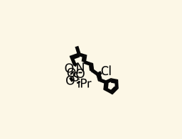 Cc1cc(C=CC(Cl)=Cc2ccccc2)n(OS(=O)(=O)C(C)C)c(=O)c1